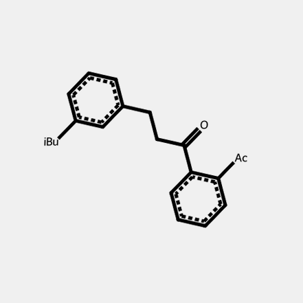 CCC(C)c1cccc(CCC(=O)c2ccccc2C(C)=O)c1